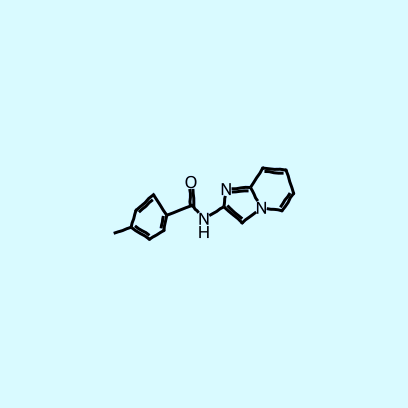 Cc1ccc(C(=O)Nc2cn3ccccc3n2)cc1